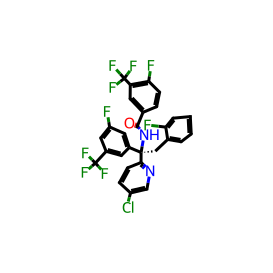 O=C(N[C@](Cc1ccccc1F)(c1cc(F)cc(C(F)(F)F)c1)c1ccc(Cl)cn1)c1ccc(F)c(C(F)(F)F)c1